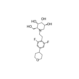 OC[C@H]1[C@@H](O)[C@H](O)[C@@H](O)CN1CCc1c(F)cc(C2CCOCC2)cc1F